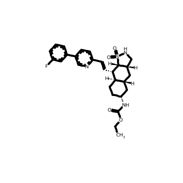 CCOC(=O)N[C@@H]1CC[C@@H]2[C@@H](C1)C[C@H]1CNS(=O)(=O)[C@H]1[C@H]2/C=C/c1ccc(-c2cccc(F)c2)cn1